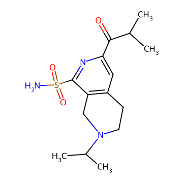 CC(C)C(=O)c1cc2c(c(S(N)(=O)=O)n1)CN(C(C)C)CC2